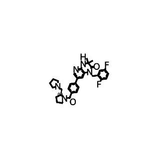 CC1(C)Nc2ncc(-c3ccc(C(=O)N4CCC[C@H]4CN4CCCC4)cc3)cc2N(Cc2cc(F)ccc2F)C1=O